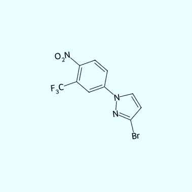 O=[N+]([O-])c1ccc(-n2ccc(Br)n2)cc1C(F)(F)F